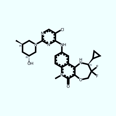 C[C@@H]1C[C@@H](O)CN(c2ncc(Cl)c(Nc3ccc4c(c3)c3c(c(=O)n4C)OCC(F)(F)[C@H](C4CC4)N3)n2)C1